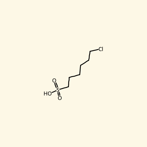 O=S(=O)(O)CCCCCCCl